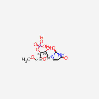 COC[C@H]1O[C@@H](n2ccc(=O)[nH]c2=O)[C@H](O)[C@@H]1OP(=O)(O)O